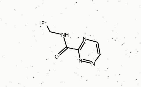 CC(C)CNC(=O)c1nccnn1